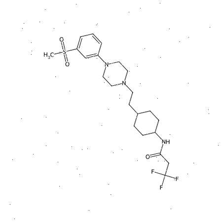 CS(=O)(=O)c1cccc(N2CCN(CCC3CCC(NC(=O)CC(F)(F)F)CC3)CC2)c1